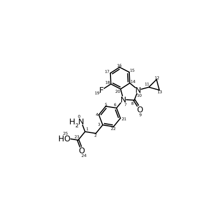 NC(Cc1ccc(-n2c(=O)n(C3CC3)c3cccc(F)c32)cc1)C(=O)O